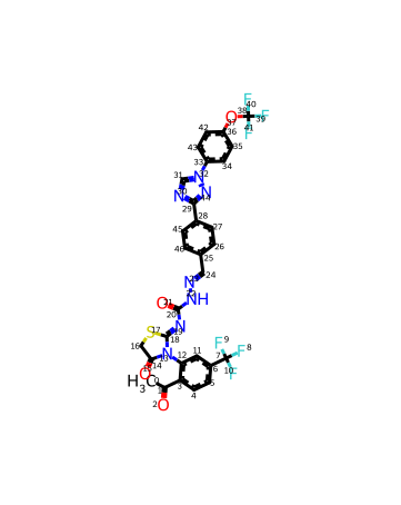 CC(=O)c1ccc(C(F)(F)F)cc1N1C(=O)CS/C1=N\C(=O)N/N=C/c1ccc(-c2ncn(-c3ccc(OC(F)(F)F)cc3)n2)cc1